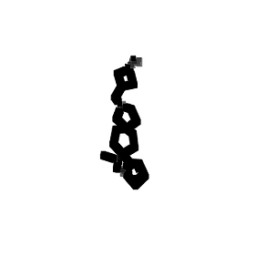 CC(=O)N1CC(CN2CCC3(CCC(c4cccs4)(N(C)C)CC3)C2)C1